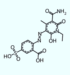 CCn1c(O)c(/N=N/c2ccc(S(=O)(=O)O)cc2C(=O)O)c(C)c(C(N)=O)c1=O